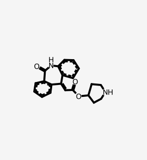 O=C(/C=C1\c2ccccc2NC(=O)c2ccccc21)OC1CCNCC1